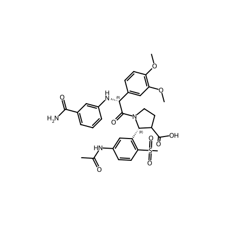 COc1ccc([C@@H](Nc2cccc(C(N)=O)c2)C(=O)N2CCC(C(=O)O)[C@@H]2c2cc(NC(C)=O)ccc2S(C)(=O)=O)cc1OC